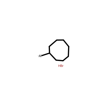 Br.[Al][CH]1CCCCCCC1